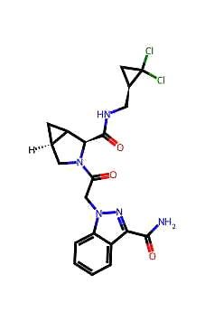 NC(=O)c1nn(CC(=O)N2C[C@H]3CC3[C@H]2C(=O)NC[C@H]2CC2(Cl)Cl)c2ccccc12